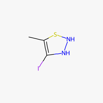 CC1=C(I)NNS1